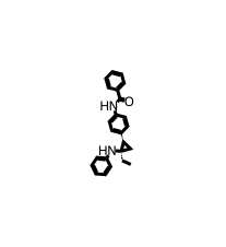 CC[C@@]1(Nc2ccccc2)C[C@H]1c1ccc(NC(=O)c2ccccc2)cc1